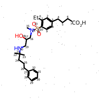 CCc1cc(CCCC(=O)O)ccc1S(=O)(=O)N(C)CC(O)CNC(C)(C)CCCc1ccccc1